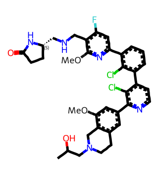 COc1cc(-c2nccc(-c3cccc(-c4cc(F)c(CNC[C@@H]5CCC(=O)N5)c(OC)n4)c3Cl)c2Cl)cc2c1CN(CC(C)O)CC2